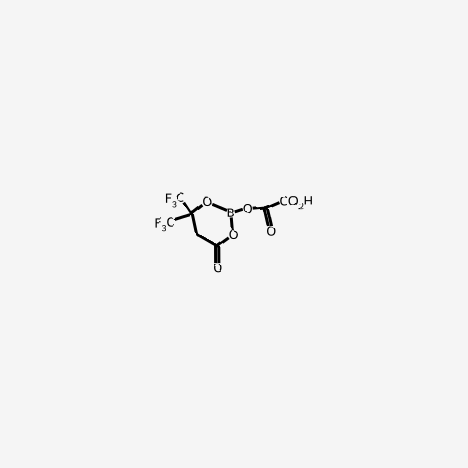 O=C1CC(C(F)(F)F)(C(F)(F)F)OB(OC(=O)C(=O)O)O1